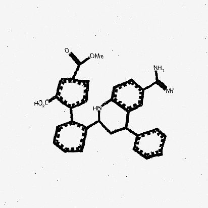 COC(=O)c1ccc(-c2ccccc2C2CC(c3ccccc3)c3cc(C(=N)N)ccc3N2)c(C(=O)O)c1